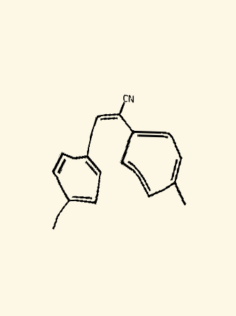 Cc1ccc(C=C(C#N)c2ccc(C)cc2)cc1